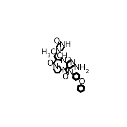 CC(C)(C=C(C#N)C(=O)N1CCCC(n2c(=O)n(-c3ccc(Oc4ccccc4)cc3)c3c(N)nccc32)C1)N1CCNC(=O)C1